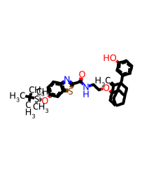 C=C1C2(OCCNC(=O)c3nc4ccc(O[Si](C)(C)C(C)(C)C)cc4s3)CC3CC(C2)CC1(c1cccc(O)c1)C3